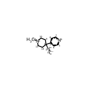 [C-]#[N+]C1(c2ccncc2)CCN(C)CC1